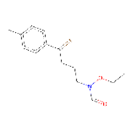 CCON(C=O)CCCC(=S)c1ccc(C)cc1